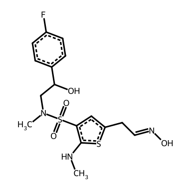 CNc1sc(CC=NO)cc1S(=O)(=O)N(C)CC(O)c1ccc(F)cc1